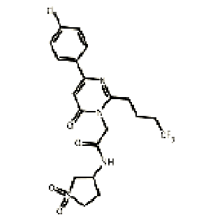 O=C(Cn1c(CCCC(F)(F)F)nc(-c2ccc(Cl)cc2)cc1=O)NC1CCS(=O)(=O)C1